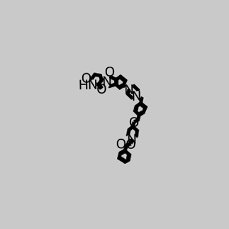 O=C1CCC(N2Cc3cc(N4CCN(Cc5ccc(COC6CCN(OC(=O)c7ccccc7)CC6)cc5)CC4)ccc3C2=O)C(=O)N1